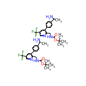 C[C@@H](N)c1ccc(-c2cc(C(F)(F)F)cnc2CNC(=O)OC(C)(C)C)cc1.C[C@@H](N)c1ccc(-c2cc(C(F)(F)F)cnc2CNC(=O)OC(C)(C)C)cc1